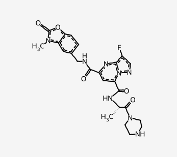 C[C@H](NC(=O)c1cc(C(=O)NCc2ccc3oc(=O)n(C)c3c2)nc2c(F)cnn12)C(=O)N1CCNCC1